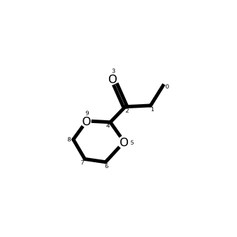 CCC(=O)C1OCCCO1